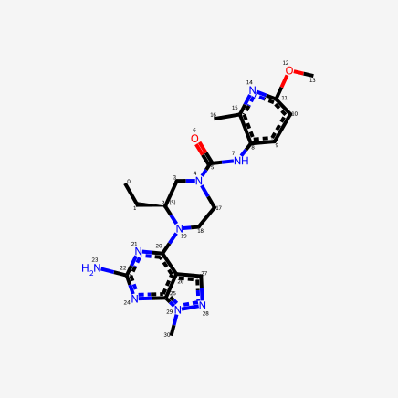 CC[C@H]1CN(C(=O)Nc2ccc(OC)nc2C)CCN1c1nc(N)nc2c1cnn2C